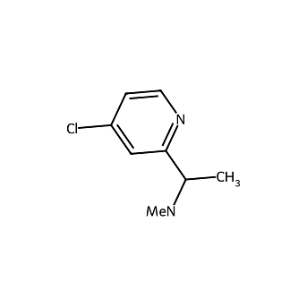 CNC(C)c1cc(Cl)ccn1